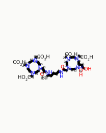 CCC(C)C(CCCCNC(=O)CN1CCNC(CC(O)O)CN(CC(=O)O)CCN(CC(=O)O)CC1)NC(=O)CN1CCN(CC(=O)O)CCN(CC(=O)O)CCN(CC(=O)O)CC1